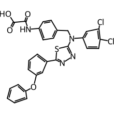 O=C(O)C(=O)Nc1ccc(CN(c2ccc(Cl)c(Cl)c2)c2nnc(-c3cccc(Oc4ccccc4)c3)s2)cc1